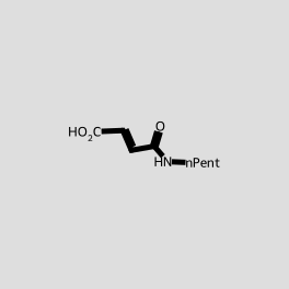 CCCCCNC(=O)C=CC(=O)O